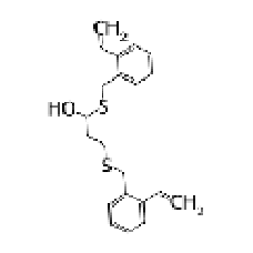 C=Cc1ccccc1CSCCC(O)SCc1ccccc1C=C